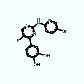 Oc1ccc(-c2nc(Nc3ccc(Br)cn3)ncc2F)cc1O